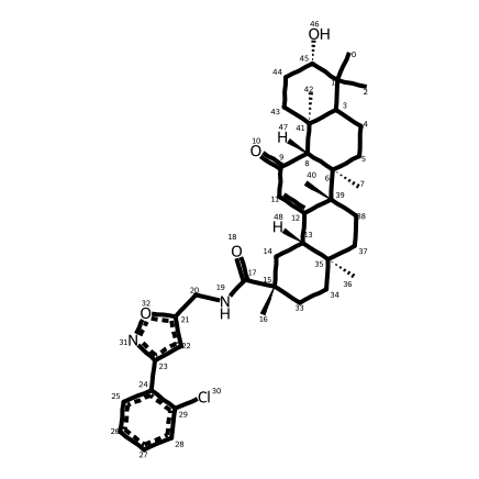 CC1(C)C2CC[C@]3(C)[C@H](C(=O)C=C4[C@H]5C[C@@](C)(C(=O)NCc6cc(-c7ccccc7Cl)no6)CC[C@]5(C)CC[C@]43C)[C@@]2(C)CC[C@@H]1O